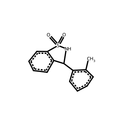 Cc1ccccc1C1NS(=O)(=O)c2ccccc21